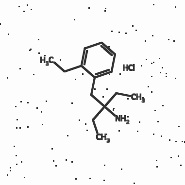 CCc1ccccc1CC(N)(CC)CC.Cl